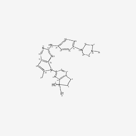 CCC1(O)CCc2ccc(-n3c(C)cc4cnc(Nc5ccc(N6CCN(C)CC6)cc5)nc43)nc21